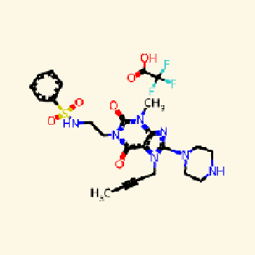 CC#CCn1c(N2CCNCC2)nc2c1c(=O)n(CCNS(=O)(=O)c1ccccc1)c(=O)n2C.O=C(O)C(F)(F)F